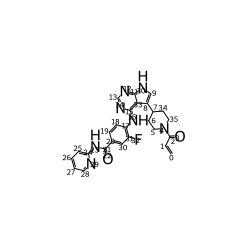 C=CC(=O)N1CCC(c2c[nH]c3ncnc(Nc4ccc(C(=O)Nc5ccccn5)cc4F)c23)CC1